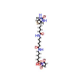 O=C(CCCCCNC(=O)CCCC[C@@H]1SC[C@@H]2NC(=O)N[C@@H]21)NCCCCCC(=O)O[N+]1(O)C(=O)CCC1=O